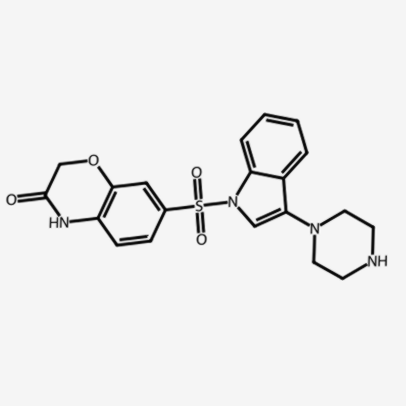 O=C1COc2cc(S(=O)(=O)n3cc(N4CCNCC4)c4ccccc43)ccc2N1